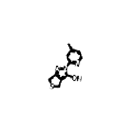 Cc1ccnc(-n2nc3c(c2O)CSC3)c1